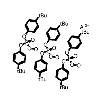 CC(C)(C)c1ccc(OP(=O)(O[O-])Oc2ccc(C(C)(C)C)cc2)cc1.CC(C)(C)c1ccc(OP(=O)(O[O-])Oc2ccc(C(C)(C)C)cc2)cc1.CC(C)(C)c1ccc(OP(=O)(O[O-])Oc2ccc(C(C)(C)C)cc2)cc1.[Al+3]